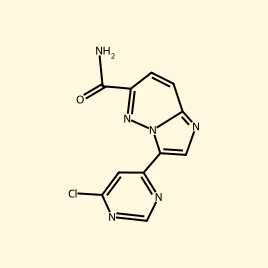 NC(=O)c1ccc2ncc(-c3cc(Cl)ncn3)n2n1